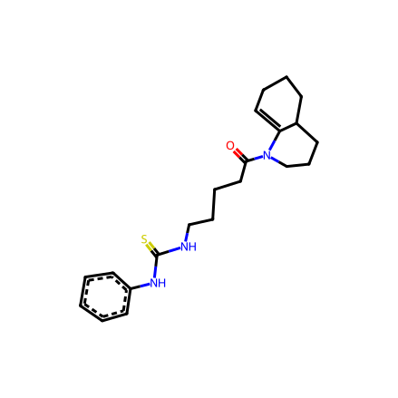 O=C(CCCCNC(=S)Nc1ccccc1)N1CCCC2CCCC=C21